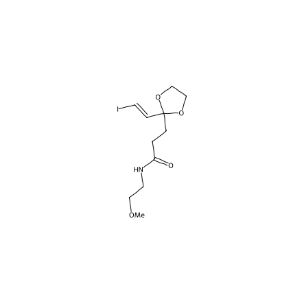 COCCNC(=O)CCC1(C=CI)OCCO1